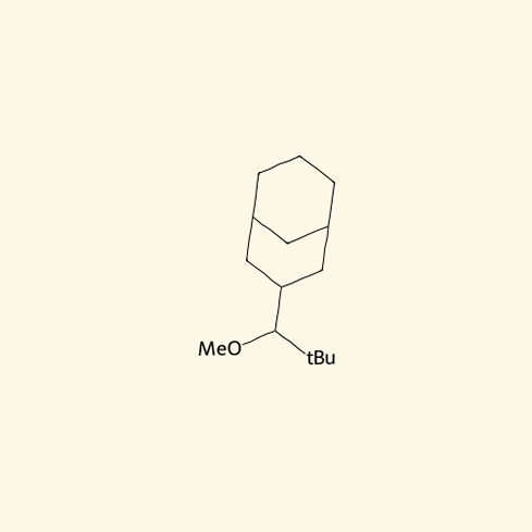 COC(C1CC2CCCC(C2)C1)C(C)(C)C